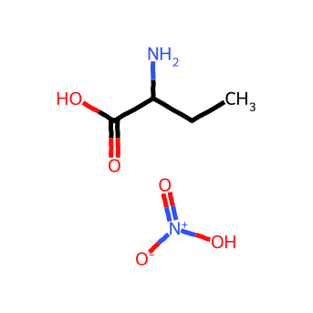 CCC(N)C(=O)O.O=[N+]([O-])O